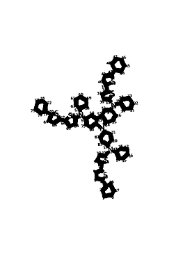 c1ccc(-c2ccc(-c3ccc(N(c4ccccc4)c4ccc(-n5c6ccc(N(c7ccccc7)c7ccc(-c8ccc(-c9ccccc9)s8)s7)cc6c6cc(N(c7ccccc7)c7ccc(-c8ccc(-c9ccccc9)s8)s7)ccc65)cc4)s3)s2)cc1